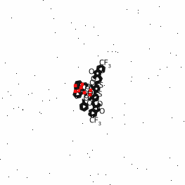 O=C1C(=O)c2cc(C(F)(F)F)ccc2/C1=C/C1=Cc2sc3c(c2C1(C(=O)OCc1ccccc1)C(=O)OCc1ccccc1)C(C(=O)OCc1ccccc1)(C(=O)OCc1ccccc1)c1cc(/C=C2\C(=O)C(=O)c4cc(C(F)(F)F)ccc42)sc1-3